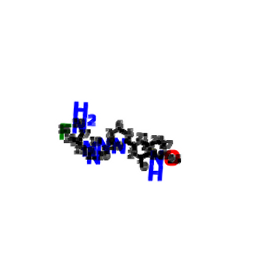 Cc1cc(-c2cccc(N3C=NN(C/C(=C/F)CN)C3)n2)cc2c1NC(=O)CC2